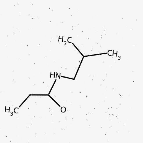 CCC([O])NCC(C)C